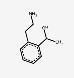 CC(O)c1ccccc1CCN